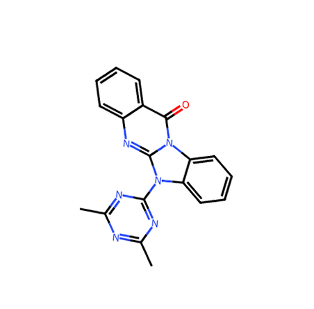 Cc1nc(C)nc(-n2c3ccccc3n3c(=O)c4ccccc4nc23)n1